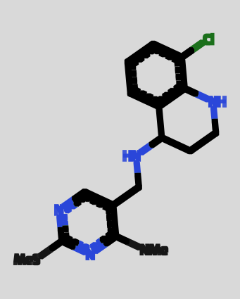 CNc1nc(SC)ncc1CNC1CCNc2c(Cl)cccc21